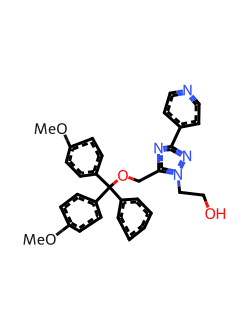 COc1ccc(C(OCc2nc(-c3ccncc3)nn2CCO)(c2ccccc2)c2ccc(OC)cc2)cc1